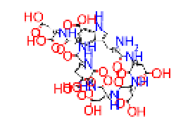 N[C@@H](Cc1c[nH]c2ccccc12)C(=O)N[C@@H](CC(=O)O)C(=O)N[C@@H](CC(=O)O)C(=O)N[C@@H](CC(=O)O)C(=O)N[C@@H](CC(=O)O)C(=O)N[C@@H](CC(=O)O)C(=O)N[C@@H](CC(=O)O)C(=O)N[C@@H](CC(=O)O)C(=O)O